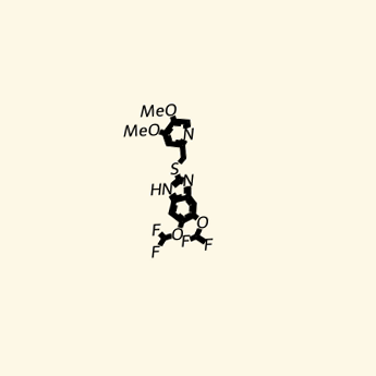 COc1cnc(CSc2nc3cc(OC(F)F)c(OC(F)F)cc3[nH]2)cc1OC